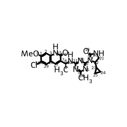 COc1cc2[nH]c(=O)c([C@H](C)Nc3nc(C)nc(N4C(=O)NCC4C4CC4)n3)cc2cc1Cl